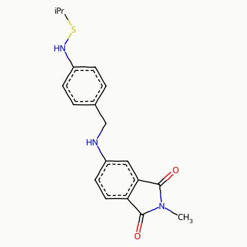 CC(C)SNc1ccc(CNc2ccc3c(c2)C(=O)N(C)C3=O)cc1